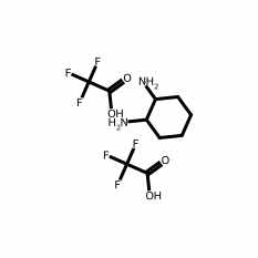 NC1CCCCC1N.O=C(O)C(F)(F)F.O=C(O)C(F)(F)F